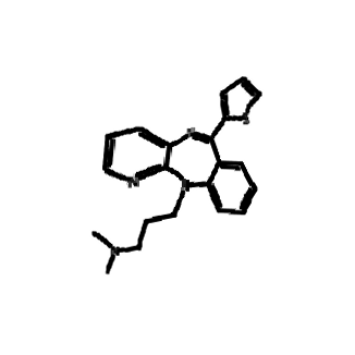 CN(C)CCCN1c2ccccc2C(c2cccs2)=Nc2cccnc21